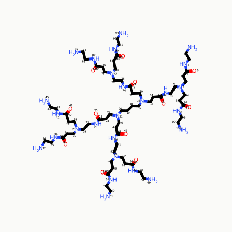 NCCNC(=O)CCN(CCNC(=O)CCN(CCCCN(CCC(=O)NCCN(CCC(=O)NCCN)CCC(=O)NCCN)CCC(=O)NCCN(CCC(=O)NCCN)CCC(=O)NCCN)CCC(=O)NCCN(CCC(=O)NCCN)CCC(=O)NCCN)CCC(=O)NCCN